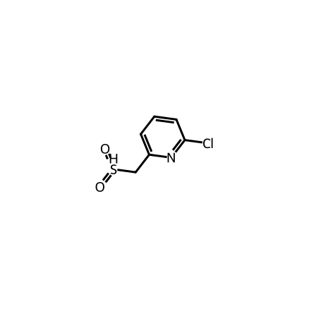 O=[SH](=O)Cc1cccc(Cl)n1